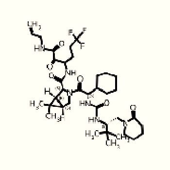 C=CCNC(=O)C(=O)C(CCC(F)(F)F)NC(=O)[C@@H]1[C@@H]2[C@H](CN1C(=O)[C@@H](NC(=O)N[C@H](CN1CCCCC1=O)C(C)(C)C)C1CCCCC1)C2(C)C